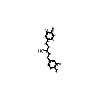 OC(CCc1ccc(F)c(F)c1)CCc1ccc(F)c(F)c1